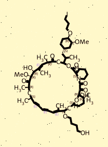 CO[C@@H]1C[C@H](CC(C)C2CC(=O)[C@H](C)/C=C(\C)[C@@H](O)[C@@H](OC)C(=O)[C@H](C)C[C@H](C)/C=C/C=C/C=C(\C)[C@@H](OCCCCO)C[C@@H]3CC[C@@H](C)[C@@](O)(O3)C(=O)C(=O)N3CCCC[C@H]3C(=O)O2)CC[C@H]1OCCCI